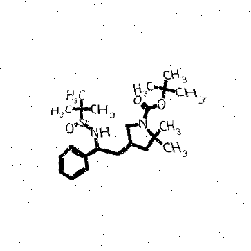 CC(C)(C)OC(=O)N1CC(CC(N[S+]([O-])C(C)(C)C)c2ccccc2)CC1(C)C